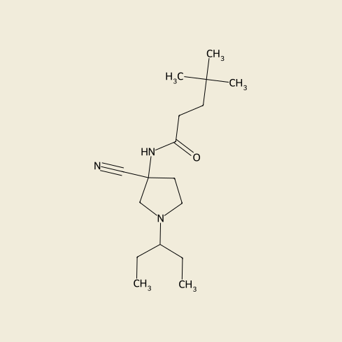 CCC(CC)N1CCC(C#N)(NC(=O)CCC(C)(C)C)C1